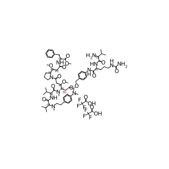 CC[C@H](C)[C@@H]([C@@H](CC(=O)N1CCC[C@H]1[C@H](OC)[C@@H](C)C(=O)N[C@@H](Cc1ccccc1)C(=O)OC)OC)N(C)C(=O)[C@@H](NC(=O)[C@H](C(C)C)N(C)CCc1ccc(N(C)C(=O)OCc2ccc(NC(=O)[C@H](CCCNC(N)=O)NC(=O)[C@@H](N)C(C)C)cc2)cc1)C(C)C.O=C(O)C(F)(F)F.O=C(O)C(F)(F)F